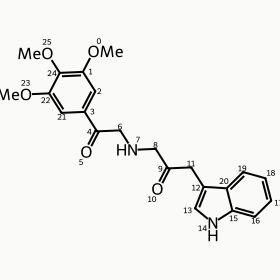 COc1cc(C(=O)CNCC(=O)Cc2c[nH]c3ccccc23)cc(OC)c1OC